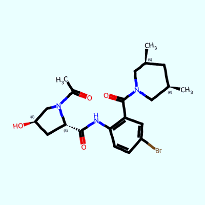 CC(=O)N1C[C@H](O)C[C@H]1C(=O)Nc1ccc(Br)cc1C(=O)N1C[C@H](C)C[C@H](C)C1